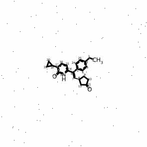 CCc1ccc(/C(=C\[C@H]2CCC(=O)C2)c2ccc(C3CC3)c(=O)[nH]2)cc1